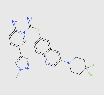 Cn1cc(-c2ccc(=N)n(C(=N)Sc3ccc4ncc(N5CCC(F)(F)CC5)cc4c3)c2)cn1